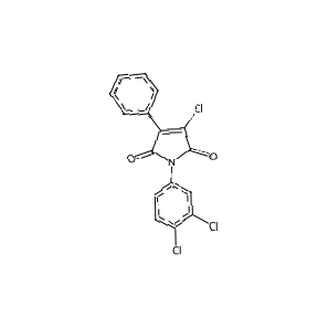 O=C1C(Cl)=C(c2ccccc2)C(=O)N1c1ccc(Cl)c(Cl)c1